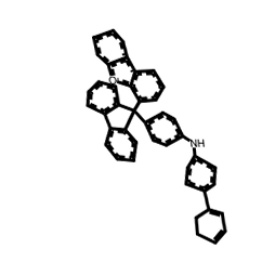 C1=CCCC(c2ccc(Nc3ccc(C4(c5cccc6c5oc5ccccc56)c5ccccc5-c5ccccc54)cc3)cc2)=C1